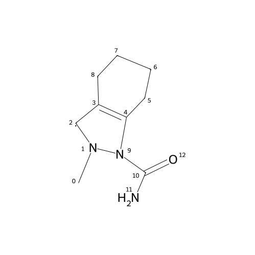 CN1[CH]C2=C(CCCC2)N1C(N)=O